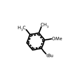 COc1c(C(C)(C)C)ccc(C)c1C